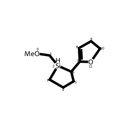 COC[SiH]1CCCC1C1=CCCO1